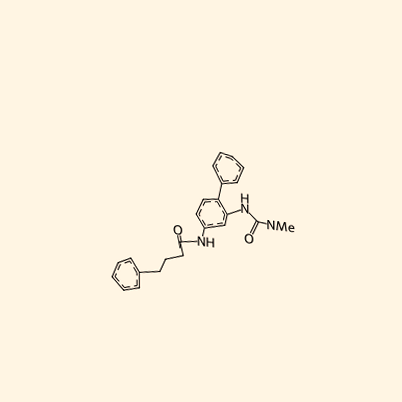 CNC(=O)Nc1cc(NC(=O)CCCc2ccccc2)ccc1-c1ccccc1